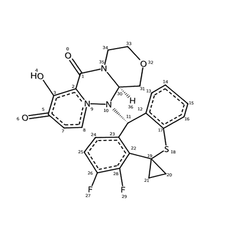 O=C1c2c(O)c(=O)ccn2N([C@@H]2c3ccccc3SC3(CC3)c3c2ccc(F)c3F)[C@@H]2COCCN12